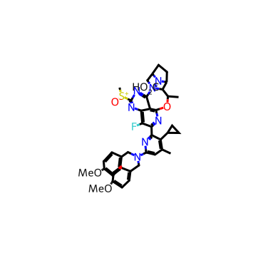 COc1ccc(CN(Cc2ccc(OC)cc2)c2cc(C)c(C3CC3)c(-c3nc4c5c(nc([S+](C)[O-])nc5c3F)N3CC5CCC(C3C(C)O4)N5C(=O)O)n2)cc1